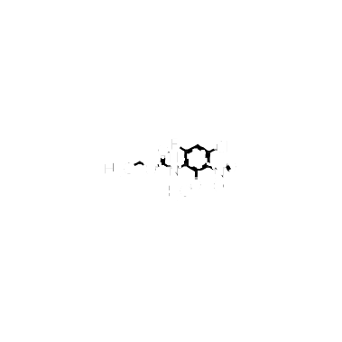 CCOC(=O)Nc1c(F)cc(Cl)c([N+](=O)[O-])c1OC